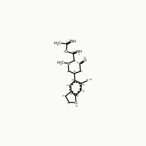 CC(=N)OC(=N)CN(C)CC(CC=O)c1cc2c(cc1F)OCC2